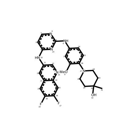 COc1cc(Nc2nccc(Nc3cnc4cc(F)c(F)cc4c3)n2)ccc1N1CCC(C)(O)CC1